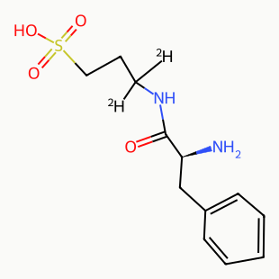 [2H]C([2H])(CCS(=O)(=O)O)NC(=O)[C@@H](N)Cc1ccccc1